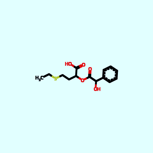 CCSCCC(OC(=O)C(O)c1ccccc1)C(=O)O